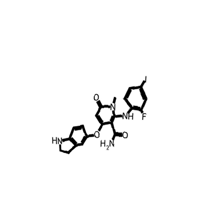 Cn1c(Nc2ccc(I)cc2F)c(C(N)=O)c(Oc2ccc3c(c2)CCN3)cc1=O